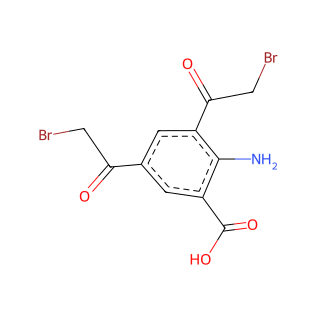 Nc1c(C(=O)O)cc(C(=O)CBr)cc1C(=O)CBr